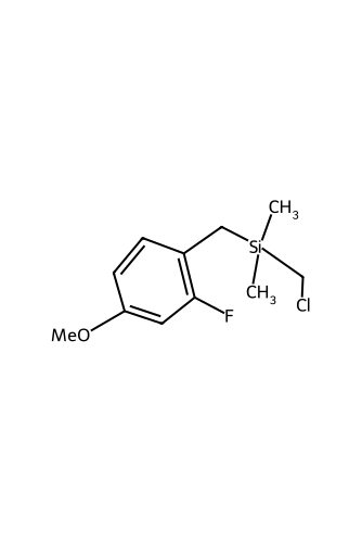 COc1ccc(C[Si](C)(C)CCl)c(F)c1